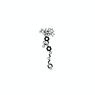 CC(C)(C)[Si](C)(C)Oc1ccc2c(c1)OC(=O)N(c1ccc(OCCOCCN3CCOCC3)cc1)C2